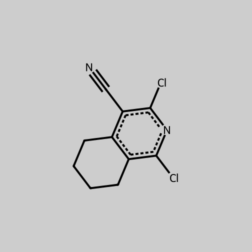 N#Cc1c(Cl)nc(Cl)c2c1CCCC2